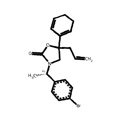 C=CCC1(C2=CCCC=C2)CN([C@@H](C)c2ccc(Br)cc2)C(=O)O1